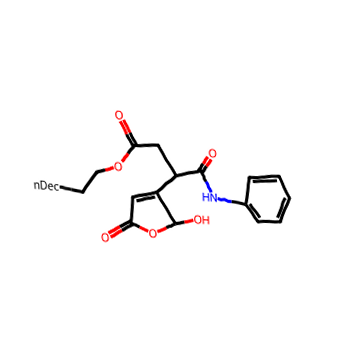 CCCCCCCCCCCCOC(=O)CC(C(=O)Nc1ccccc1)C1=CC(=O)OC1O